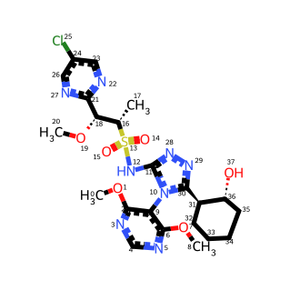 COc1ncnc(OC)c1-n1c(NS(=O)(=O)[C@@H](C)[C@H](OC)c2ncc(Cl)cn2)nnc1[C@@H]1CCCC[C@H]1O